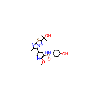 COc1ncc(C2C(C)N=C3SC(C(C)(C)O)=NN32)cc1[S+]([O-])N[C@H]1CC[C@H](O)CC1